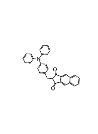 O=C1c2cc3ccccc3cc2C(=O)C1Cc1ccc(N(c2ccccc2)c2ccccc2)cc1